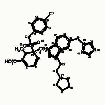 CC1C(C(=O)O)=CC=C[C@@]1(C(=O)O)S(=O)(=O)Cc1ccc(F)cc1.c1ncn(Cc2ccc3[nH]cc(CCN4CCCC4)c3c2)n1